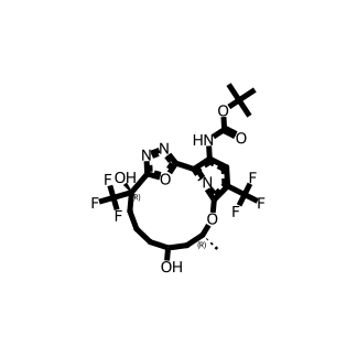 C[C@@H]1CC(O)CCC[C@](O)(C(F)(F)F)c2nnc(o2)-c2nc(c(C(F)(F)F)cc2NC(=O)OC(C)(C)C)O1